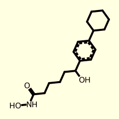 O=C(CCCCC(O)c1ccc(C2CCCCC2)cc1)NO